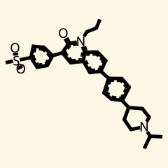 CCCn1c(=O)c(-c2ccc(S(C)(=O)=O)cc2)cc2cc(-c3ccc(C4CCN(C(C)C)CC4)cc3)ccc21